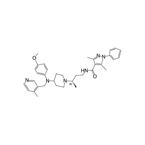 COc1ccc(N(Cc2cnccc2C)C2CCN([C@H](C)CCNC(=O)c3c(C)nn(-c4ccccc4)c3C)CC2)cc1